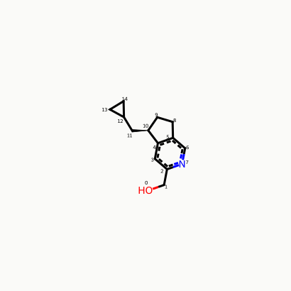 OCc1cc2c(cn1)CC[C@@H]2CC1CC1